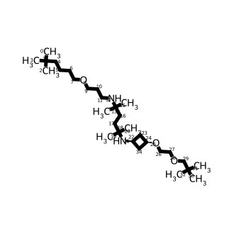 CC(C)(C)CCCCOCCCNC(C)(C)CCC(C)(C)N[C@H]1C[C@H](OCCOCC(C)(C)C)C1